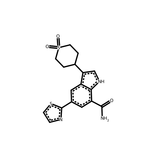 NC(=O)c1cc(-c2nccs2)cc2c(C3CCS(=O)(=O)CC3)c[nH]c12